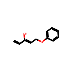 C=CC(O)=CCOc1ccccc1